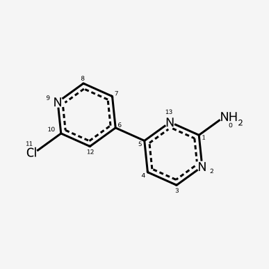 Nc1nccc(-c2ccnc(Cl)c2)n1